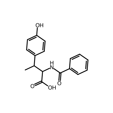 CC(c1ccc(O)cc1)C(NC(=O)c1ccccc1)C(=O)O